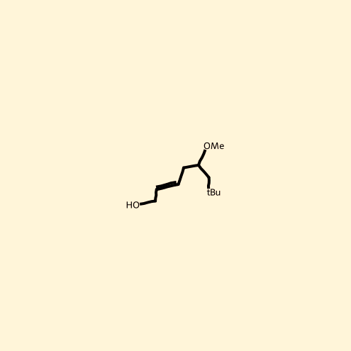 COC(CC=CCO)CC(C)(C)C